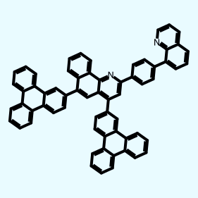 c1cnc2c(-c3ccc(-c4cc(-c5ccc6c7ccccc7c7ccccc7c6c5)c5cc(-c6ccc7c8ccccc8c8ccccc8c7c6)c6ccccc6c5n4)cc3)cccc2c1